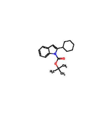 CC(C)(C)OC(=O)n1c(C2CCCCC2)cc2ccccc21